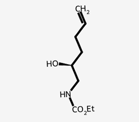 C=CCC[C@H](O)CNC(=O)OCC